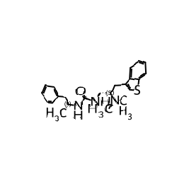 C[C@H](Cc1ccccc1)NC(=O)NC[C@H](Cc1csc2ccccc12)N(C)C